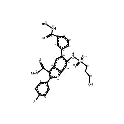 CNC(=O)c1c(-c2ccc(F)cc2)oc2cc(NS(=O)(=O)CCCO)c(-c3cccc(C(=O)NC(C)(C)C)c3)cc12